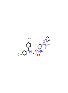 CC(NC(=O)c1cc(F)cc(NS(=O)(=O)CC2CN(C(c3ccc(Cl)cc3)c3ccc(Cl)cc3)C2)c1)c1ccccn1